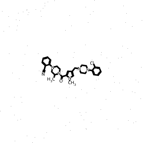 CC1CN(c2ccccc2C#N)CCN1C(=O)c1cc(CN2CCN(c3ccccc3Cl)CC2)cn1C